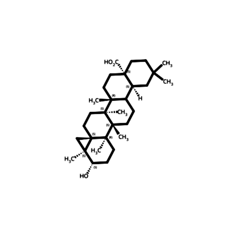 CC1(C)CC[C@]2(C(=O)O)CC[C@]3(C)C(CC[C@]4(C)[C@@]5(C)CC[C@H](O)[C@@]6(C)C[C@@]56CC[C@]43C)[C@@H]2C1